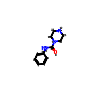 O=C(Nc1ccccc1)N1CC[N]CC1